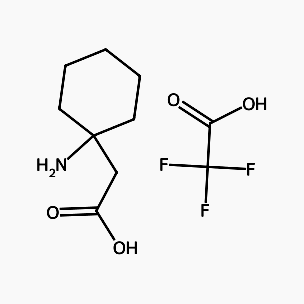 NC1(CC(=O)O)CCCCC1.O=C(O)C(F)(F)F